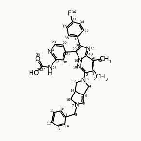 Cc1c(N2CC3=CN(Cc4ccccc4)CC3C2)nn2c(-c3ccnc(NC(=O)O)c3)c(-c3ccc(F)cc3)nc2c1C